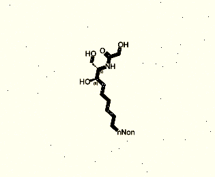 CCCCCCCCCCCCCCC[C@@H](O)[C@H](CO)NC(=O)CO